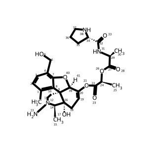 Cc1ccc(CO)c2c1[C@]13CCN(N)[C@H](C)[C@]1(O)CC=C(OC(=O)[C@H](C)OC(=O)[C@H](C)NC(=O)[C@@H]1CCCN1)[C@@H]3O2